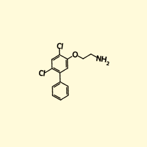 NCCOc1cc(-c2ccccc2)c(Cl)cc1Cl